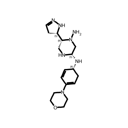 NN1C[C@H](N[C@H]2C=CC(N3CCOCC3)=CC2)NC[C@@H]1[C@@H]1CC=NN1